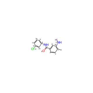 Cc1ccc(C(=O)Nc2cccc(Cl)c2)cc1NI